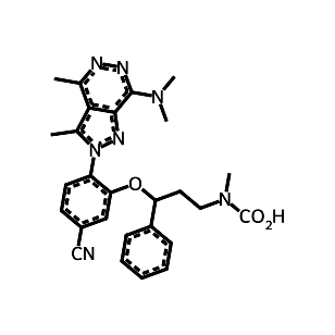 Cc1nnc(N(C)C)c2nn(-c3ccc(C#N)cc3OC(CCN(C)C(=O)O)c3ccccc3)c(C)c12